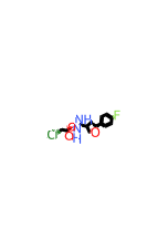 N=C(NOC(=O)CCl)C1COC(c2ccc(F)cc2)C1